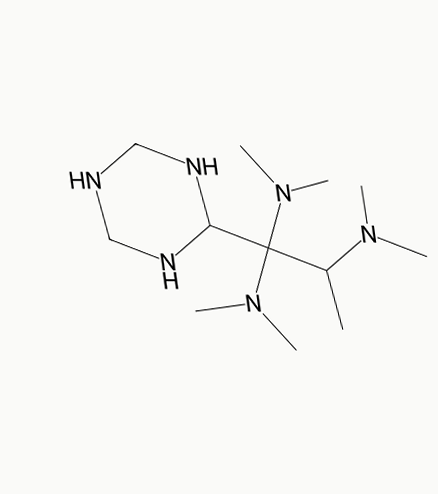 CC(N(C)C)C(C1NCNCN1)(N(C)C)N(C)C